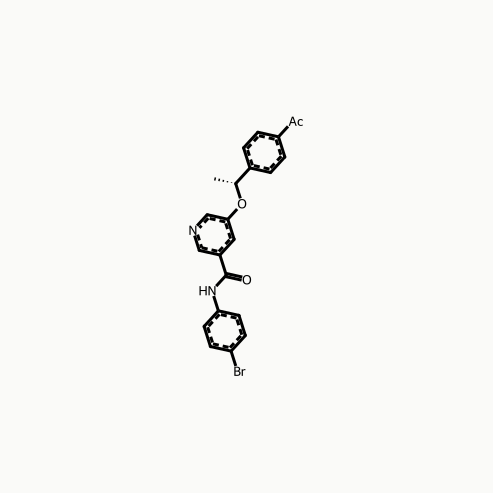 CC(=O)c1ccc([C@@H](C)Oc2cncc(C(=O)Nc3ccc(Br)cc3)c2)cc1